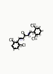 O=C(/C=C/c1c(Cl)cccc1Cl)/C=C/c1c(Cl)cccc1Cl